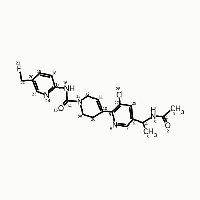 CC(=O)NC(C)c1cnc(C2=CCN(C(=O)Nc3ccc(CF)cn3)CC2)c(Cl)c1